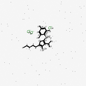 CCCCCC1=[C]([Ti+3])C(C(C)C)=C([SiH2]c2c(C)cc(C)cc2C)C1.[Cl-].[Cl-].[Cl-]